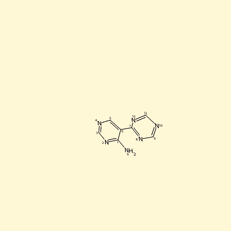 Nc1ncncc1-c1ncncn1